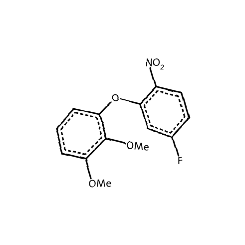 COc1cccc(Oc2cc(F)ccc2[N+](=O)[O-])c1OC